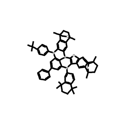 CC(C)(C)c1ccc(N2c3cc4c(cc3B3c5oc6cc7c(cc6c5N(c5ccc6c(c5)C(C)(C)CCC6(C)C)c5cc(-c6ccccc6)cc2c53)C2(C)CCC7(C)CC2)C2(C)CCC4(C)CC2)cc1